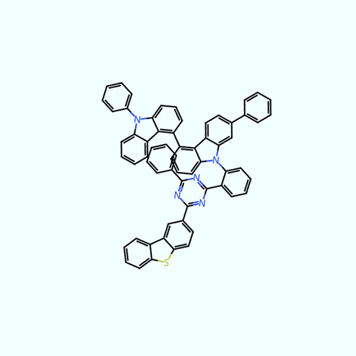 c1ccc(-c2ccc3c4c(-c5cccc6c5c5ccccc5n6-c5ccccc5)cccc4n(-c4ccccc4-c4nc(-c5ccccc5)nc(-c5ccc6sc7ccccc7c6c5)n4)c3c2)cc1